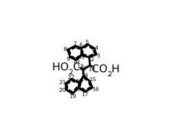 O=C(O)C(c1cccc2ccccc12)C(C(=O)O)c1cccc2ccccc12